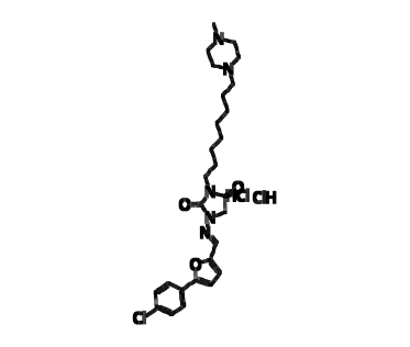 CN1CCN(CCCCCCCCN2C(=O)CN(/N=C/c3ccc(-c4ccc(Cl)cc4)o3)C2=O)CC1.Cl.Cl